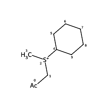 CC(=O)C[S+](C)C1CCCCC1